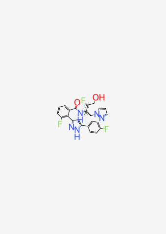 O=C(N[C@H](Cn1cccn1)[C@H](F)CO)c1cccc(F)c1-c1cc(-c2ccc(F)cc2)[nH]n1